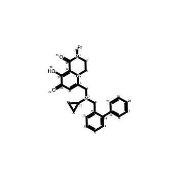 CC(C)N1CCn2c(CN(Cc3ccccc3-c3ccccc3)C3CC3)cc(=O)c(O)c2C1=O